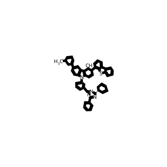 CC1C=CC=C(c2ccc3c(c2)c2c(n3-c3cccc(C4N5C(c6ccccc6)=NC([C@H]6C=CC=CC6)N45)c3)C=CC(c3cccc4c3sc3ccccc34)C2C)C1